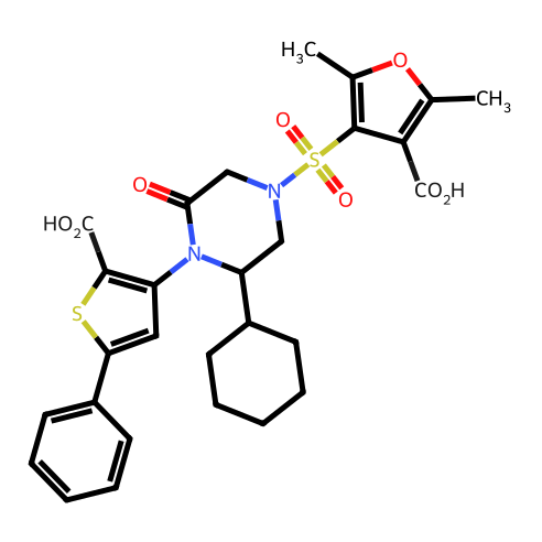 Cc1oc(C)c(S(=O)(=O)N2CC(=O)N(c3cc(-c4ccccc4)sc3C(=O)O)C(C3CCCCC3)C2)c1C(=O)O